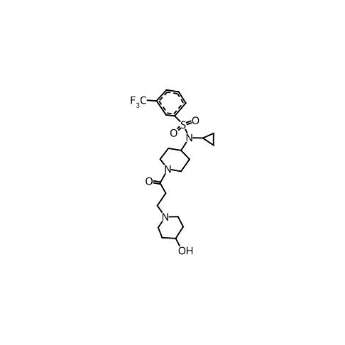 O=C(CCN1CCC(O)CC1)N1CCC(N(C2CC2)S(=O)(=O)c2cccc(C(F)(F)F)c2)CC1